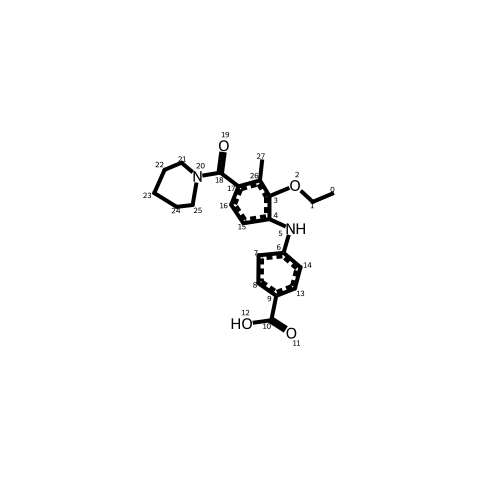 CCOc1c(Nc2ccc(C(=O)O)cc2)ccc(C(=O)N2CCCCC2)c1C